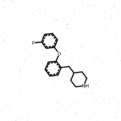 Fc1cccc(Oc2ccccc2CC2CCNCC2)c1